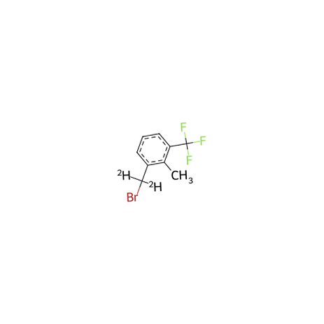 [2H]C([2H])(Br)c1cccc(C(F)(F)F)c1C